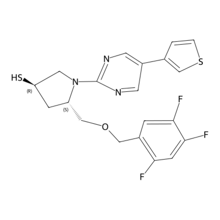 Fc1cc(F)c(COC[C@@H]2C[C@@H](S)CN2c2ncc(-c3ccsc3)cn2)cc1F